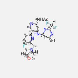 CCc1cc(Nc2cc(NC(C)=O)ncc2-c2ccc(F)c(CN3C[C@@H]4C[C@H]3CO4)n2)nc(C(C)(F)F)n1